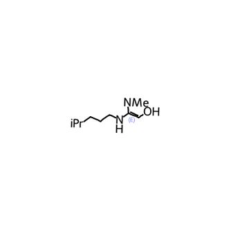 CN/C(=C\O)NCCCC(C)C